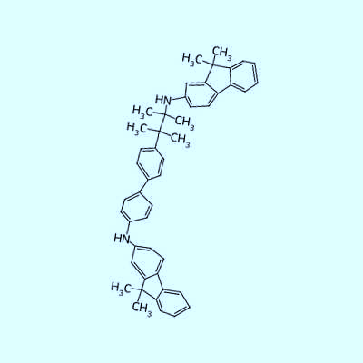 CC1(C)c2ccccc2-c2ccc(Nc3ccc(-c4ccc(C(C)(C)C(C)(C)Nc5ccc6c(c5)C(C)(C)c5ccccc5-6)cc4)cc3)cc21